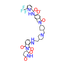 COc1cc2c(cc1NC(=O)c1cccc(C(F)(F)F)n1)CN([C@H]1CC[C@H](CN3CCC(CCNc4cccc5c4C(=O)N(C4CCC(=O)NC4=O)C5=O)CC3)CC1)C2=O